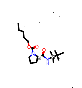 CCCCCOC(=O)N1CCC[C@H]1C(=O)N[Si](C)(C)C(C)(C)C